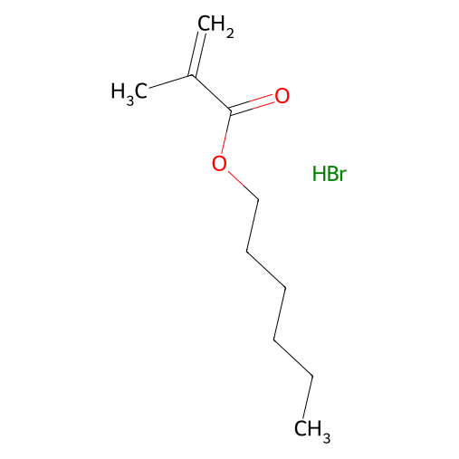 Br.C=C(C)C(=O)OCCCCCC